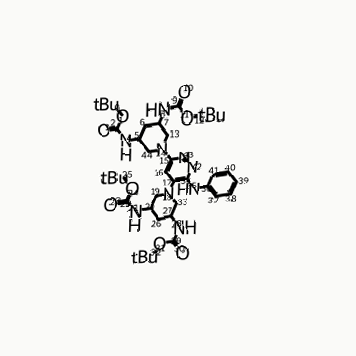 CC(C)(C)OC(=O)NC1CC(NC(=O)OC(C)(C)C)CN(c2cc(N3CC(NC(=O)OC(C)(C)C)CC(NC(=O)OC(C)(C)C)C3)c(Nc3ccccc3)nn2)C1